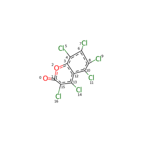 O=c1oc2c(Cl)c(Cl)c(Cl)c(Cl)c2c(Cl)c1Cl